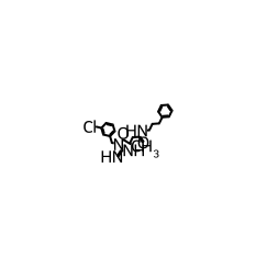 CC1(CC(=O)NCCCc2ccccc2)NC(=N)N(Cc2cccc(Cl)c2)C1=O